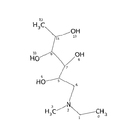 CCN(C)CC(O)C(O)C(O)C(C)O